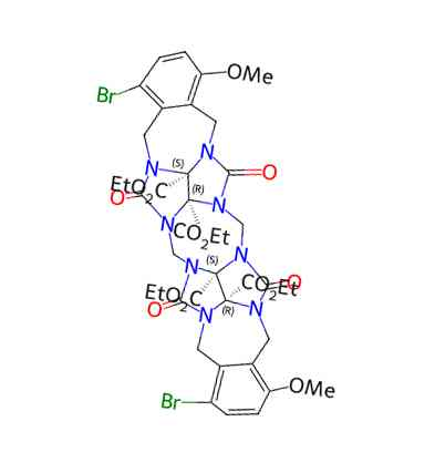 CCOC(=O)[C@@]12N3CN4C(=O)N5Cc6c(Br)ccc(OC)c6CN6C(=O)N(CN1C(=O)N1Cc7c(OC)ccc(Br)c7CN(C3=O)[C@@]12C(=O)OCC)[C@@]4(C(=O)OCC)[C@]56C(=O)OCC